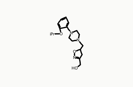 CC(C)Oc1ccccc1N1CCN(CC2CC(CO)=NO2)CC1